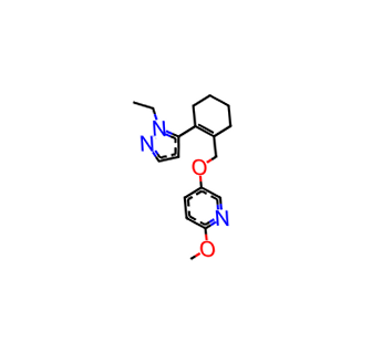 CCn1nccc1C1=C(COc2ccc(OC)nc2)CCCC1